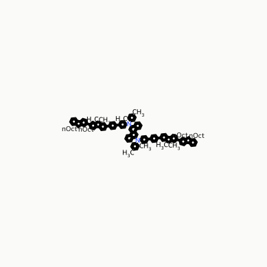 CCCCCCCCC1(CCCCCCCC)c2ccccc2-c2ccc(-c3ccc4c(c3)C(C)(C)c3cc(-c5ccc(-c6ccc(N(c7ccc(C)cc7C)c7cc8c9ccccc9c(N(c9ccc(-c%10ccc(-c%11ccc%12c(c%11)C(C)(C)c%11cc(-c%13ccc%14c(c%13)C(CCCCCCCC)(CCCCCCCC)c%13ccccc%13-%14)ccc%11-%12)cc%10)cc9)c9ccc(C)cc9C)cc8c8ccccc78)cc6)cc5)ccc3-4)cc21